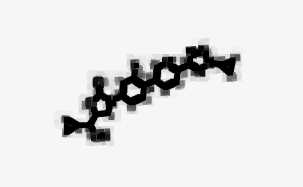 O=C1O[C@H](C(O)C2CC2)CN1c1ccc(-c2ccc(-c3nnn(C4CC4)n3)nc2)c(F)c1